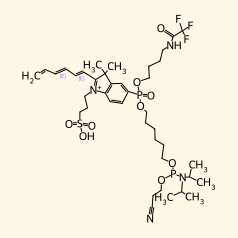 C=C/C=C/C=C/C1=[N+](CCCS(=O)(=O)O)c2ccc(P(=O)(OCCCCCCOP(OCCC#N)N(C(C)C)C(C)C)OCCCCNC(=O)C(F)(F)F)cc2C1(C)C